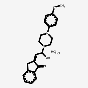 COc1ccc(N2CCN(C(O)C=C3Cc4ccccc4C3=O)CC2)cc1.Cl.Cl